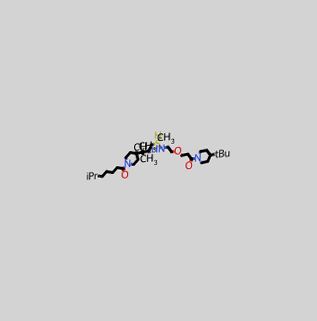 CC(C)CCCCC(=O)N1CCC(C)(C(C)(C)CC[SH](C)NCCOCCC(=O)N2CCC(C(C)(C)C)CC2)CC1